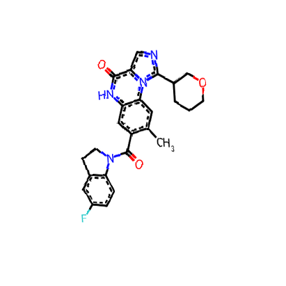 Cc1cc2c(cc1C(=O)N1CCc3cc(F)ccc31)[nH]c(=O)c1cnc(C3CCCOC3)n12